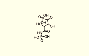 O=C(NP(=O)(O)O)C(O)C(O)C(=O)P(=O)(O)O